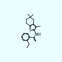 C=C(Nc1sc2c(c1C)CC(C)(C)CC2)c1ccccc1CC